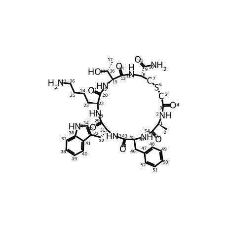 C[C@@H]1NC(=O)CSC[C@@H](C(N)=O)NC(=O)[C@H]([C@@H](C)O)NC(=O)[C@H](CCCCN)NC(=O)[C@@H](Cc2c[nH]c3ccccc23)NC(=O)C(Cc2ccccc2)NC1=O